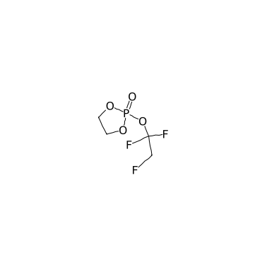 O=P1(OC(F)(F)CF)OCCO1